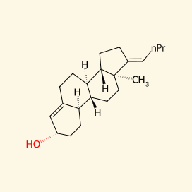 CCCC=C1CC[C@H]2[C@@H]3CCC4=C[C@@H](O)CC[C@@H]4[C@H]3CC[C@]12C